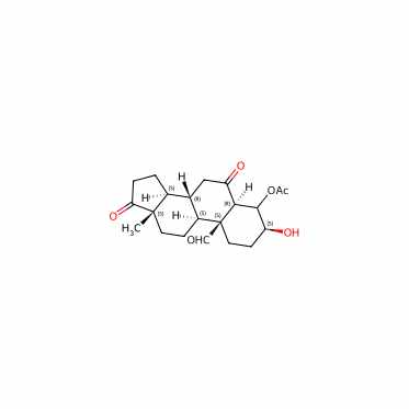 CC(=O)OC1[C@@H](O)CC[C@@]2(C=O)[C@H]1C(=O)C[C@@H]1[C@@H]2CC[C@]2(C)C(=O)CC[C@@H]12